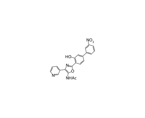 CC(=O)Nc1oc(-c2ccc(-c3cccc([N+](=O)[O-])c3)cc2O)nc1-c1cccnc1